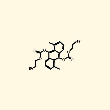 Cc1cccc2c(OC(=O)OCCC(C)C)c3c(C)cccc3c(OC(=O)OCCC(C)C)c12